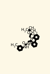 Cc1cccc(NC(=O)NCC(=O)N(CC(=O)OC(C)(C)C)c2ccccc2-c2ccccc2)c1